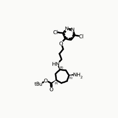 CC(C)(C)OC(=O)[C@@H]1CC[C@H](N)C[C@H](NCCCOc2cc(Cl)nnc2Cl)C1